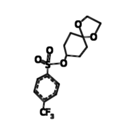 O=S(=O)(OC1CCC2(CC1)OCCO2)c1ccc(C(F)(F)F)cc1